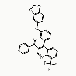 O=C(c1ccccc1)c1cnc2c(C(F)(F)F)cccc2c1-c1cccc(Oc2ccc3c(c2)OCO3)c1